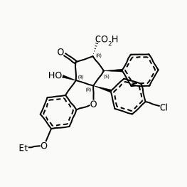 CCOc1ccc2c(c1)O[C@@]1(c3ccc(Cl)cc3)[C@H](c3ccccc3)[C@@H](C(=O)O)C(=O)[C@@]21O